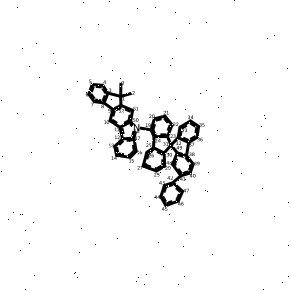 CC1(C)c2ccccc2-c2cc3c4ccccc4n(-c4cccc5c4-c4ccccc4C54c5ccccc5-c5ccc(-c6ccccc6)cc54)c3cc21